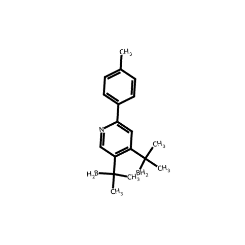 BC(C)(C)c1cnc(-c2ccc(C)cc2)cc1C(B)(C)C